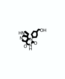 O=c1[nH]c(=O)n(C2CCC(CO)CC2)c2c1cnc1[nH]ccc12